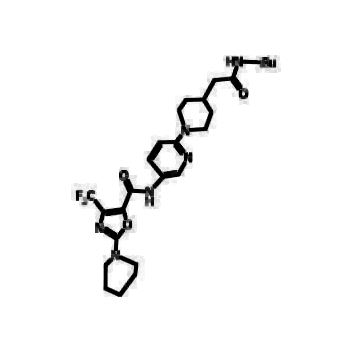 CCC(C)NC(=O)CC1CCN(c2ccc(NC(=O)c3oc(N4CCCCC4)nc3C(F)(F)F)cn2)CC1